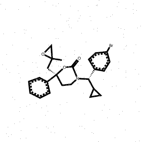 CC1(C[C@@]2(c3ccccc3)CCN([C@H](c3ccc(Br)cc3)C3CC3)C(=O)O2)CO1